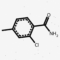 Cc1ccc(C(N)=O)c(Cl)c1